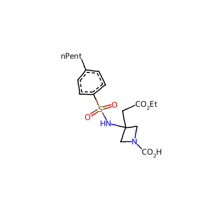 CCCCCc1ccc(S(=O)(=O)NC2(CC(=O)OCC)CN(C(=O)O)C2)cc1